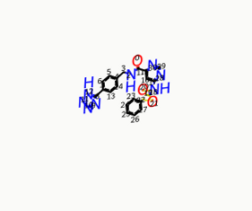 O=C(NCc1ccc(-c2nnn[nH]2)cc1)c1cc(NS(=O)(=O)c2ccccc2)ncn1